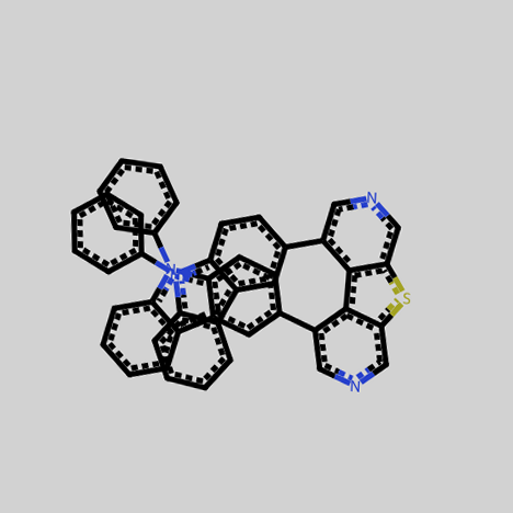 c1ccc(-n2c3ccccc3c3cc(-c4cncc5sc6cncc(-c7ccc8c(c7)c7ccccc7n8-c7ccccc7)c6c45)ccc32)cc1